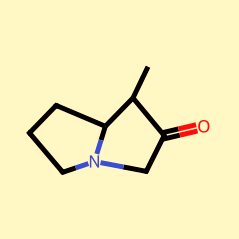 CC1C(=O)CN2CCCC12